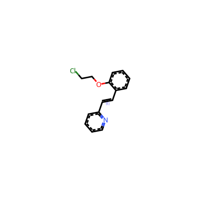 ClCCOc1ccccc1/C=C/c1ccccn1